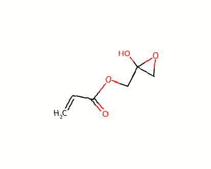 C=CC(=O)OCC1(O)CO1